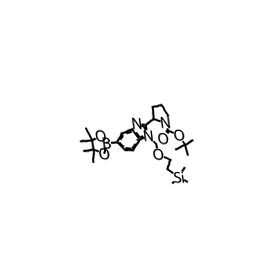 CC(C)(C)OC(=O)N1CCCC1c1nc2cc(B3OC(C)(C)C(C)(C)O3)ccc2n1COCC[Si](C)(C)C